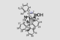 Cc1cccc(/C(=C/B(O)O)c2cn(C(c3ccccc3)(c3ccccc3)c3ccccc3)cn2)c1C